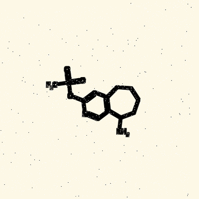 NC1CCCCc2cc(OS(=O)(=O)C(F)(F)F)ncc21